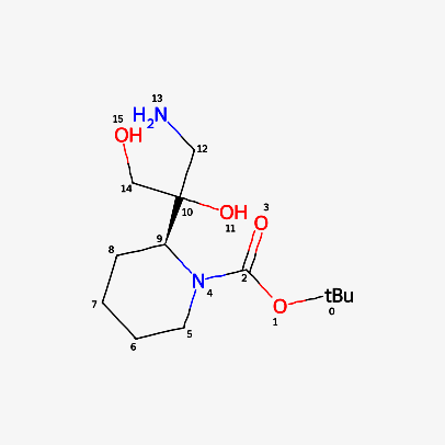 CC(C)(C)OC(=O)N1CCCC[C@H]1C(O)(CN)CO